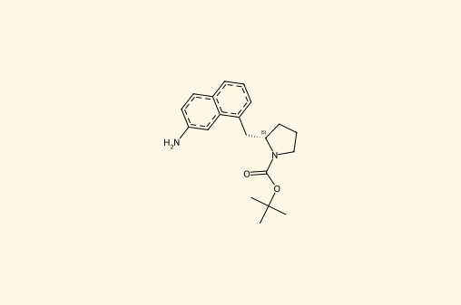 CC(C)(C)OC(=O)N1CCC[C@H]1Cc1cccc2ccc(N)cc12